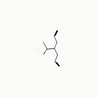 C=CCC(CC=C)C(C)Cl.N